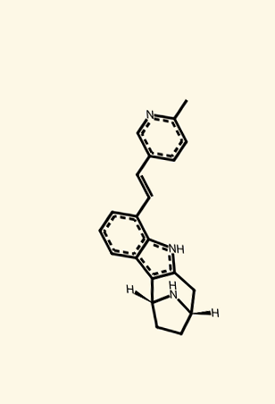 Cc1ccc(/C=C/c2cccc3c4c([nH]c23)C[C@@H]2CC[C@H]4N2)cn1